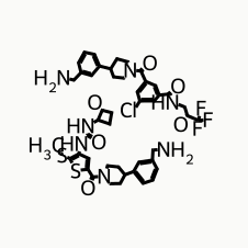 CSc1sc(C(=O)N2CCC(c3cccc(CN)c3)CC2)cc1NC(=O)NC1CCC1=O.NCc1cccc(C2CCN(C(=O)c3cc(Cl)cc(C(=O)NCC(=O)C(F)(F)F)c3)CC2)c1